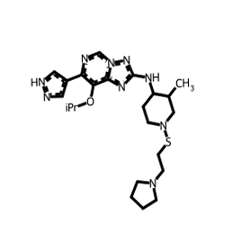 CC(C)Oc1c(-c2cn[nH]c2)ncn2nc(NC3CCN(SCCN4CCCC4)CC3C)nc12